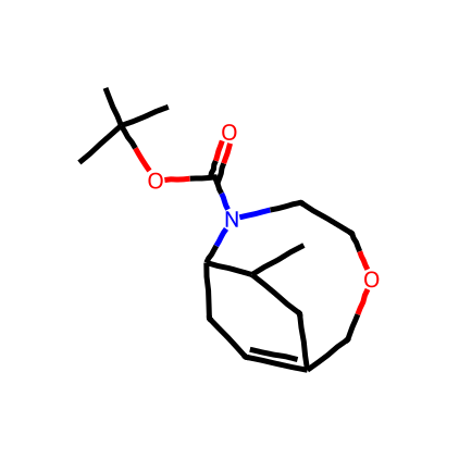 CC1CC2=CCC1N(C(=O)OC(C)(C)C)CCOC2